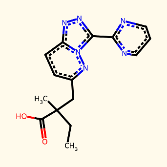 CCC(C)(Cc1ccc2nnc(-c3ncccn3)n2n1)C(=O)O